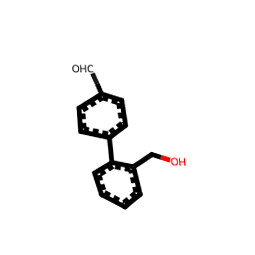 O=Cc1ccc(-c2ccccc2CO)cc1